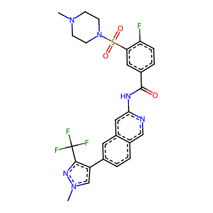 CN1CCN(S(=O)(=O)c2cc(C(=O)Nc3cc4cc(-c5cn(C)nc5C(F)(F)F)ccc4cn3)ccc2F)CC1